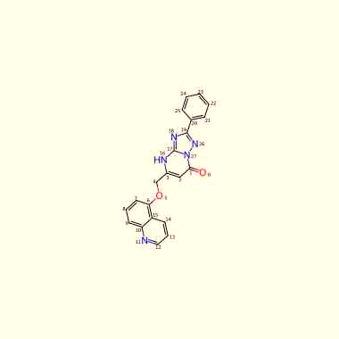 O=c1cc(COc2cccc3ncccc23)[nH]c2nc(-c3ccccc3)nn12